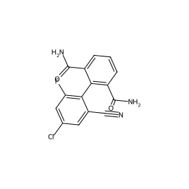 N#Cc1cc(Cl)cc(F)c1-c1c(C(N)=O)cccc1C(N)=O